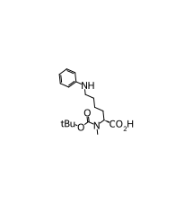 CN(C(=O)OC(C)(C)C)[C@@H](CCCCNc1ccccc1)C(=O)O